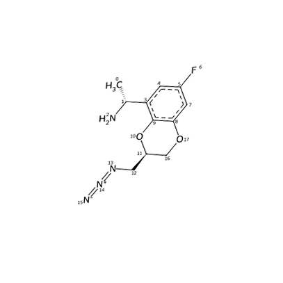 C[C@@H](N)c1cc(F)cc2c1O[C@H](CN=[N+]=[N-])CO2